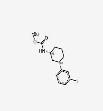 CC(C)(C)OC(=O)N[C@@H]1CCC[C@H](c2cccc(I)c2)C1